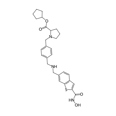 O=C(NO)c1cc2ccc(CNCc3ccc(CN4CCCC4C(=O)OC4CCCC4)cc3)cc2s1